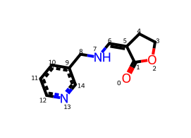 O=C1OCCC1=CNCc1cccnc1